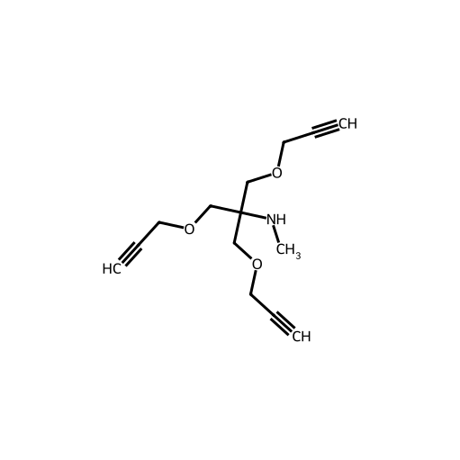 C#CCOCC(COCC#C)(COCC#C)NC